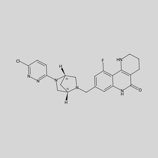 O=c1[nH]c2cc(CN3C[C@@H]4C[C@H]3CN4c3ccc(Cl)nn3)cc(F)c2c2c1CCCN2